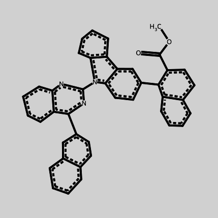 COC(=O)c1ccc2ccccc2c1-c1ccc2c(c1)c1ccccc1n2-c1nc(-c2ccc3ccccc3c2)c2ccccc2n1